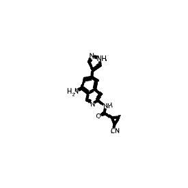 N#CC1CC1C(=O)Nc1cc2cc(-c3cn[nH]c3)cc(N)c2cn1